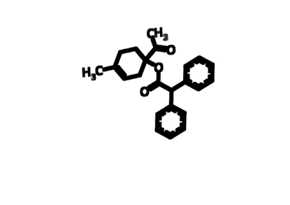 CC(=O)C1(OC(=O)C(c2ccccc2)c2ccccc2)CC=C(C)CC1